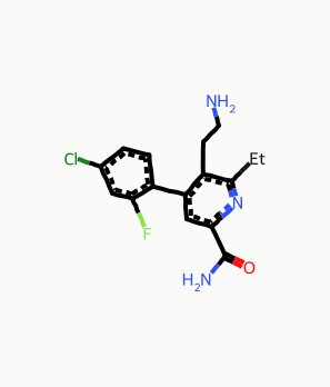 CCc1nc(C(N)=O)cc(-c2ccc(Cl)cc2F)c1CCN